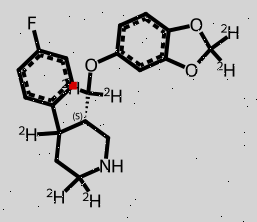 [2H]C1([2H])CC([2H])(c2ccc(F)cc2)[C@H](C([2H])([2H])Oc2ccc3c(c2)OC([2H])([2H])O3)CN1